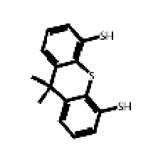 CC1(C)c2cccc(S)c2Sc2c(S)cccc21